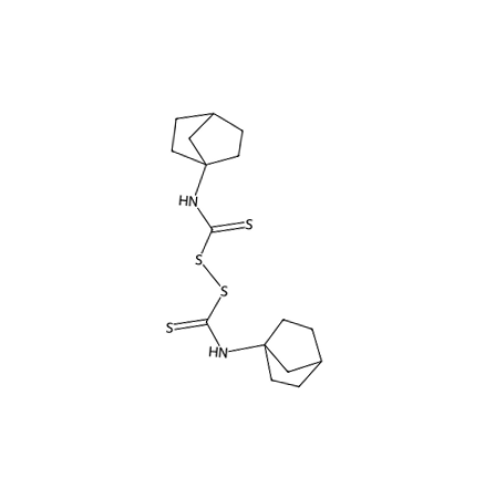 S=C(NC12CCC(CC1)C2)SSC(=S)NC12CCC(CC1)C2